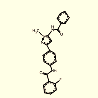 Cn1nc(-c2ccc(NC(=O)c3ccccc3F)cc2)cc1NC(=O)c1ccccc1